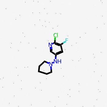 Fc1cc(NN2CCCCC2)cnc1Cl